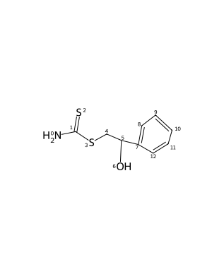 NC(=S)SCC(O)c1ccccc1